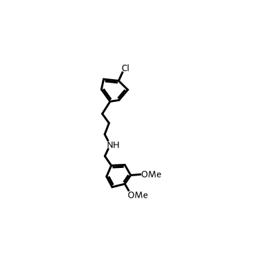 COc1ccc(CNCCCc2ccc(Cl)cc2)cc1OC